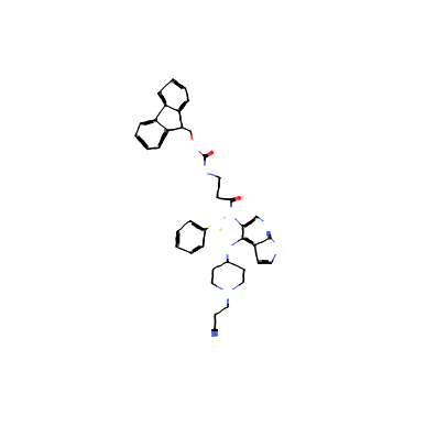 N#CCCN1CCC(Nc2c(N(C(=O)CCNC(=O)OCC3c4ccccc4-c4ccccc43)S(=O)(=O)c3ccccc3)cnc3[nH]ccc23)CC1